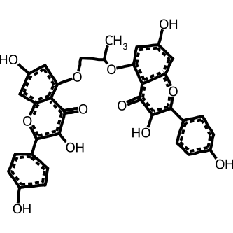 CC(COc1cc(O)cc2oc(-c3ccc(O)cc3)c(O)c(=O)c12)Oc1cc(O)cc2oc(-c3ccc(O)cc3)c(O)c(=O)c12